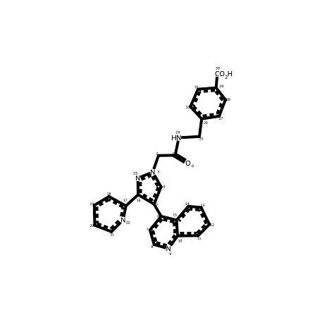 O=C(Cn1cc(-c2ccnc3ccccc23)c(-c2ccccn2)n1)NCc1ccc(C(=O)O)cc1